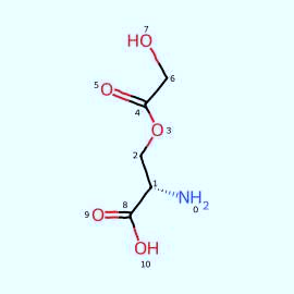 N[C@@H](COC(=O)CO)C(=O)O